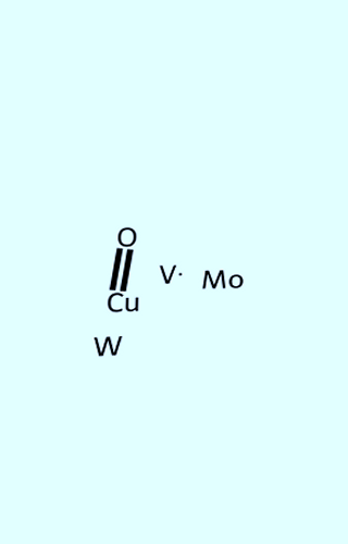 [Mo].[O]=[Cu].[V].[W]